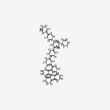 c1ccc(-c2nc(-c3ccc(-c4cccnc4)cc3)cc(-c3ccc(-c4cccc(-c5cccc6c5-c5ccccc5C65c6ccccc6-c6ccccc65)c4)cc3)n2)cc1